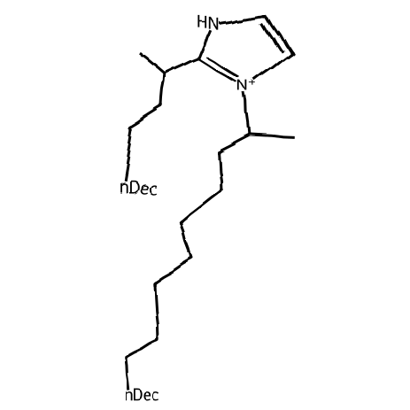 CCCCCCCCCCCCCCCCCC(C)[n+]1cc[nH]c1C(C)CCCCCCCCCCCC